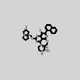 CC[C@@H]1NCCN2c3nc(OC[C@@]45CCCN4C[C@H](F)C5)nc4c(F)c(-c5cccc6ccccc56)nc(c34)OC[C@H]12